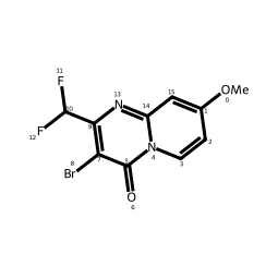 COc1ccn2c(=O)c(Br)c(C(F)F)nc2c1